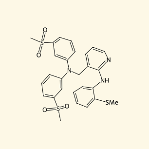 CSc1ccccc1Nc1ncccc1CN(c1cccc(S(C)(=O)=O)c1)c1cccc(S(C)(=O)=O)c1